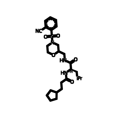 CC(C)C[C@@H](NC(=O)CCC1CCCC1)C(=O)NCC1CN(S(=O)(=O)c2ccccc2C#N)CCO1